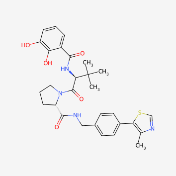 Cc1ncsc1-c1ccc(CNC(=O)[C@@H]2CCCN2C(=O)[C@@H](NC(=O)c2cccc(O)c2O)C(C)(C)C)cc1